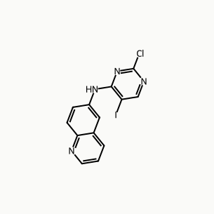 Clc1ncc(I)c(Nc2ccc3ncccc3c2)n1